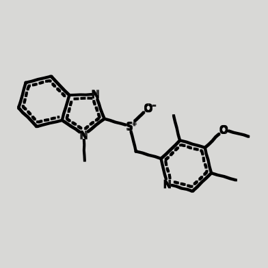 COc1c(C)cnc(C[S+]([O-])c2nc3ccccc3n2C)c1C